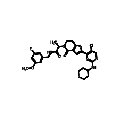 COc1cc(F)cc(CNC(=O)[C@@H](C)N2CCc3sc(-c4nc(NC5CCOCC5)ncc4Cl)cc3C2=O)c1